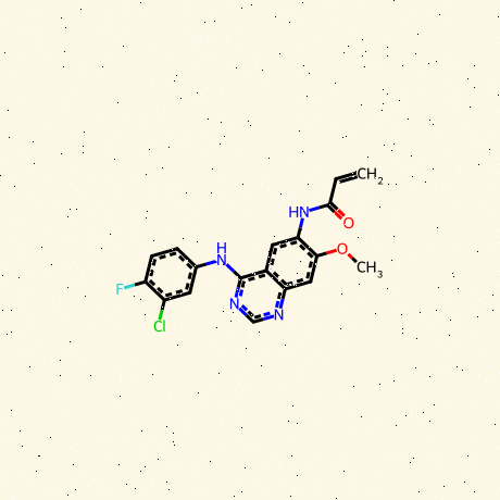 C=CC(=O)Nc1cc2c(Nc3ccc(F)c(Cl)c3)ncnc2cc1OC